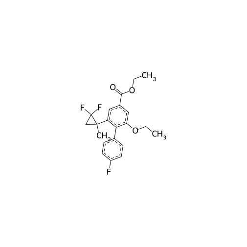 CCOC(=O)c1cc(OCC)c(-c2ccc(F)cc2)c(C2(C)CC2(F)F)c1